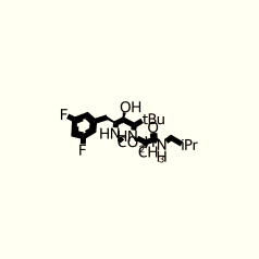 CC(C)CNC(=O)C(C)NC([C@H](O)[C@H](Cc1cc(F)cc(F)c1)NC(=O)O)C(C)(C)C